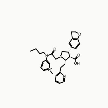 CCCCN(C(=O)CN1C[C@H](c2ccc3c(c2)CCO3)[C@@H](C(=O)O)[C@@H]1CCc1ccccn1)c1ccc[n+](C)c1